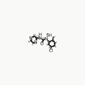 Cc1ccc(Cl)cc1N(S)C(=O)Nc1cnccn1